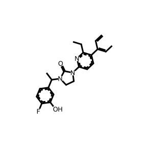 C=C/C(=C\C)c1ccc(N2CCN(C(C)c3ccc(F)c(O)c3)C2=O)nc1CC